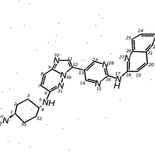 N[C@H]1CC[C@H](Nc2ccc3ncc(-c4cnc(Nc5ccc6ccccc6n5)nc4)n3n2)CC1